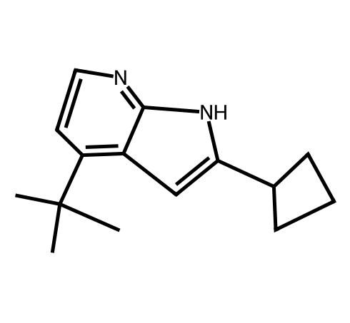 CC(C)(C)c1ccnc2[nH]c(C3CCC3)cc12